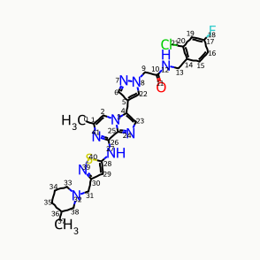 Cc1cn2c(-c3cnn(CC(=O)NCc4ccc(F)cc4Cl)c3)cnc2c(Nc2cc(CN3CCCC(C)C3)ns2)n1